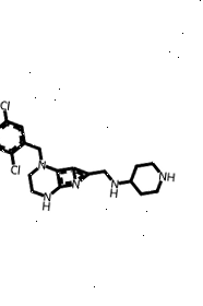 Clc1ccc(Cl)c(CN2CCNc3c2c2c(CNC4CCNCC4)n3-2)c1